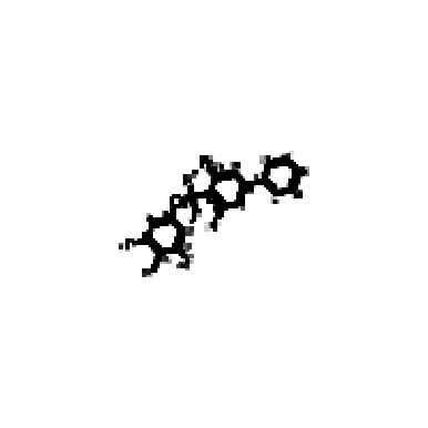 Fc1cc(OC(F)(F)c2c(F)cc(-c3ccccc3)cc2F)cc(F)c1F